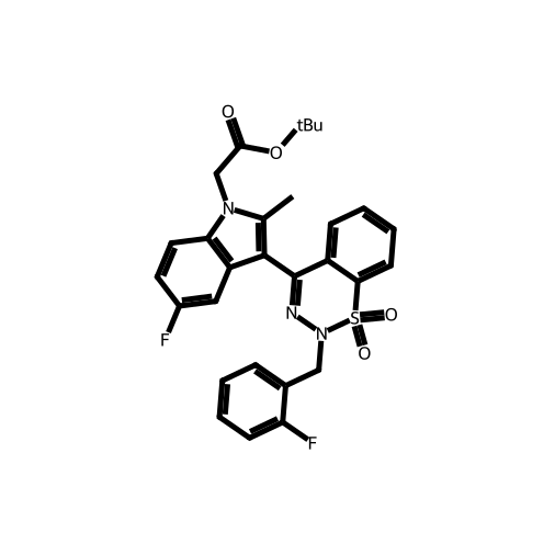 Cc1c(C2=NN(Cc3ccccc3F)S(=O)(=O)c3ccccc32)c2cc(F)ccc2n1CC(=O)OC(C)(C)C